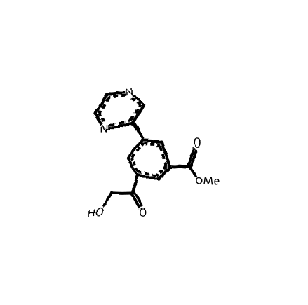 COC(=O)c1cc(C(=O)CO)cc(-c2cnccn2)c1